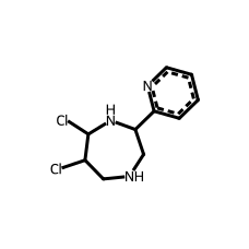 ClC1CNCC(c2ccccn2)NC1Cl